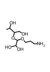 CC(O)C(CO)OC(OCCCN)C(O)O